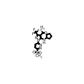 CC(=O)c1c(C(F)(F)F)nn(-c2ccc(S(C)(=O)=O)nn2)c1NC1CCCC1